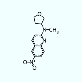 CN(c1ccc2cc([N+](=O)[O-])ccc2n1)C1CCOC1